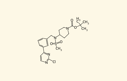 CC(C)(C)OC(=O)N1CCC(N(Cc2cccc(-c3ccnc(Cl)n3)c2)S(C)(=O)=O)CC1